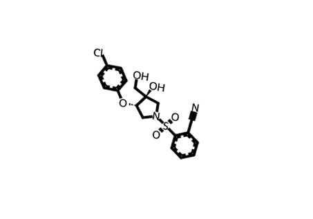 N#Cc1ccccc1S(=O)(=O)N1C[C@H](Oc2ccc(Cl)cc2)[C@](O)(CO)C1